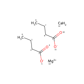 CCCC(=O)[O-].CCCC(=O)[O-].[CaH2].[Mg+2]